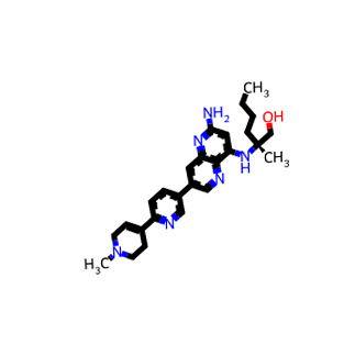 CCCC[C@](C)(CO)Nc1cc(N)nc2cc(-c3ccc(C4=CCN(C)CC4)nc3)cnc12